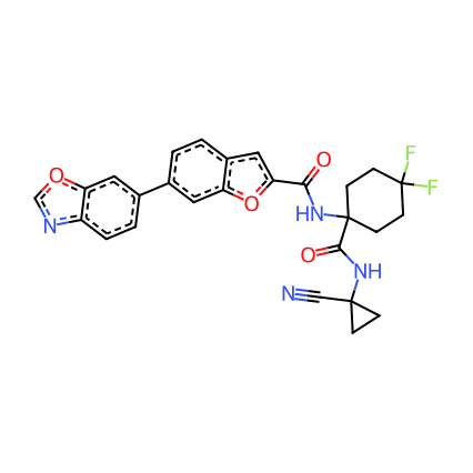 N#CC1(NC(=O)C2(NC(=O)c3cc4ccc(-c5ccc6ncoc6c5)cc4o3)CCC(F)(F)CC2)CC1